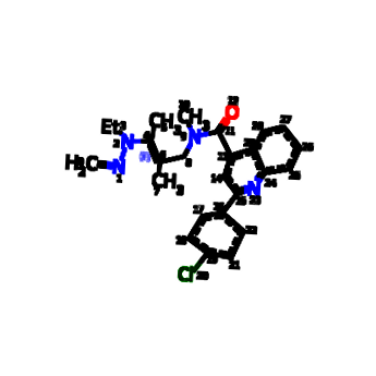 C=NN(CC)/C(C)=C(\C)CN(C)C(=O)c1cc(-c2ccc(Cl)cc2)nc2ccccc12